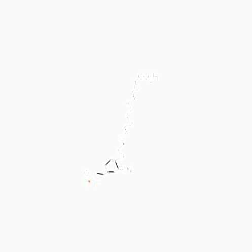 N#Cc1cc(/C=C/S(=O)(=O)F)ccc1OCCOCCOCCOCCOCC(=O)O